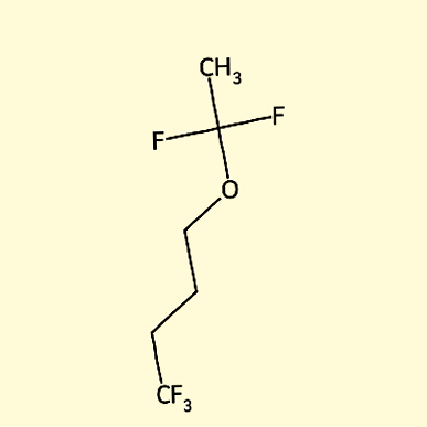 CC(F)(F)OCCCC(F)(F)F